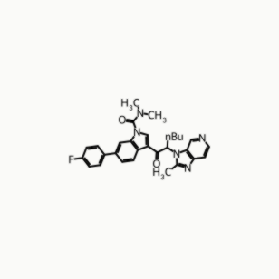 CCCCC(C(=O)c1cn(C(=O)N(C)C)c2cc(-c3ccc(F)cc3)ccc12)n1c(C)nc2ccncc21